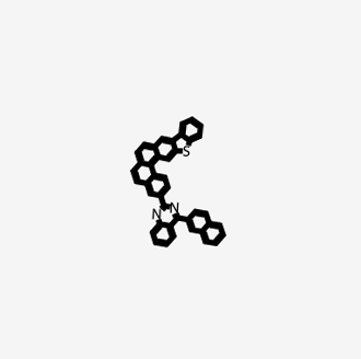 c1ccc2cc(-c3nc(-c4ccc5c(ccc6ccc7cc8c(cc7c65)sc5ccccc58)c4)nc4ccccc34)ccc2c1